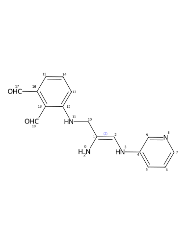 N/C(=C\Nc1cccnc1)CNc1cccc(C=O)c1C=O